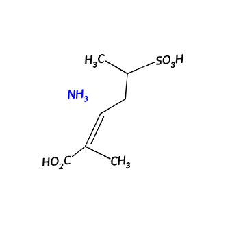 CC(=CCC(C)S(=O)(=O)O)C(=O)O.N